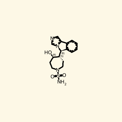 NS(=O)(=O)N1CC[C@@H]([C@@H]2c3ccccc3-c3cncn32)[C@H](O)CC1